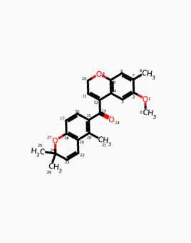 COc1cc2c(cc1C)OCC=C2C(=O)c1ccc2c(c1C)C=CC(C)(C)O2